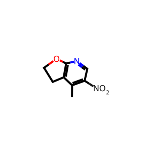 Cc1c([N+](=O)[O-])cnc2c1CCO2